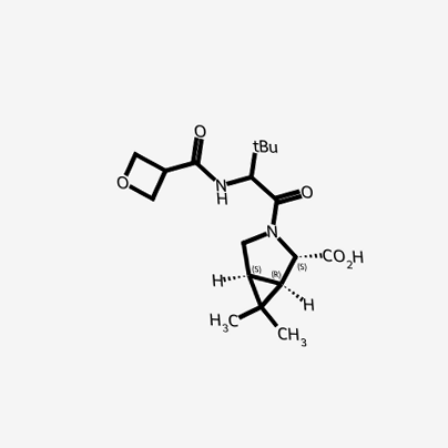 CC(C)(C)C(NC(=O)C1COC1)C(=O)N1C[C@H]2[C@@H]([C@H]1C(=O)O)C2(C)C